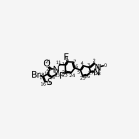 Cn1cc2cc(-c3cc(F)c(CN4Cc5scc(Br)c5C4=O)c(F)c3)ccc2n1